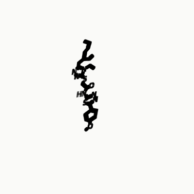 C=C/C(=C\C=C/C)Cc1nnc(SCC(=O)Nc2nnc(-c3ccc(OC)cc3)s2)n1CC